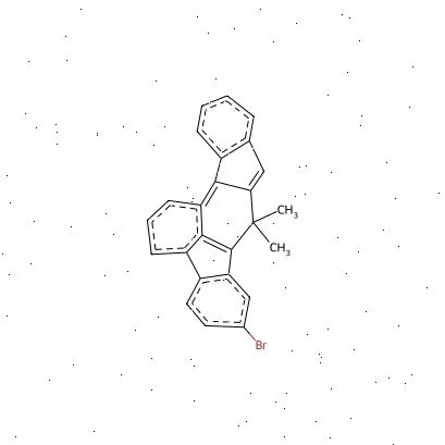 CC1(C)C2=Cc3ccccc3C2=c2cccc3c2=C1c1cc(Br)ccc1-3